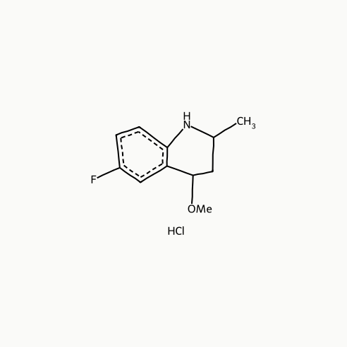 COC1CC(C)Nc2ccc(F)cc21.Cl